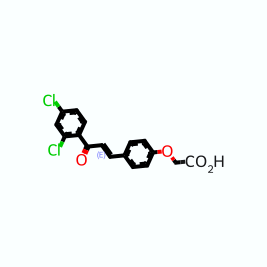 O=C(O)COc1ccc(/C=C/C(=O)c2ccc(Cl)cc2Cl)cc1